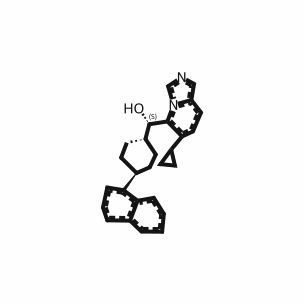 O[C@H](c1c(C2CC2)ccc2cncn12)[C@H]1CC[C@H](c2cccc3ccccc32)CC1